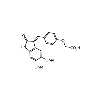 COc1cc2c(cc1OC)/C(=C\c1ccc(OCC(=O)O)cc1)C(=O)N2